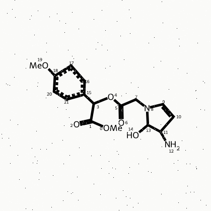 COC(=O)C(OC(=O)CN1C=CC(N)C1O)c1ccc(OC)cc1